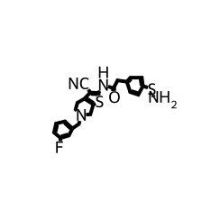 N#Cc1c(NC(=O)Cc2ccc(SN)cc2)sc2c1CCN(Cc1cccc(F)c1)C2